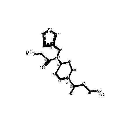 COCC(=O)N(Cc1ccsc1)C1CCN(C(C)CCN)CC1